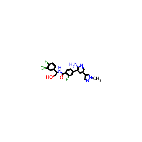 Cn1cc(-c2cnc(N)c(-c3ccc(C(=O)NC(CO)c4ccc(F)c(Cl)c4)c(F)c3)c2)cn1